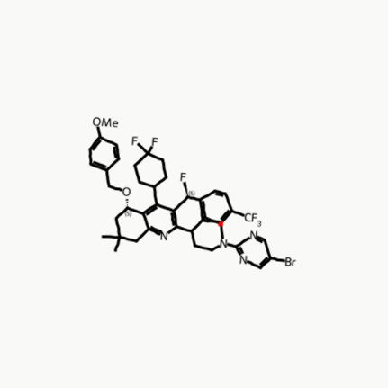 COc1ccc(CO[C@H]2CC(C)(C)Cc3nc(C4CCN(c5ncc(Br)cn5)CC4)c([C@@H](F)c4ccc(C(F)(F)F)cc4)c(C4CCC(F)(F)CC4)c32)cc1